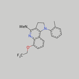 CNc1nc2c(OCC(F)(F)F)cccc2c2c1CCN2c1ccccc1C